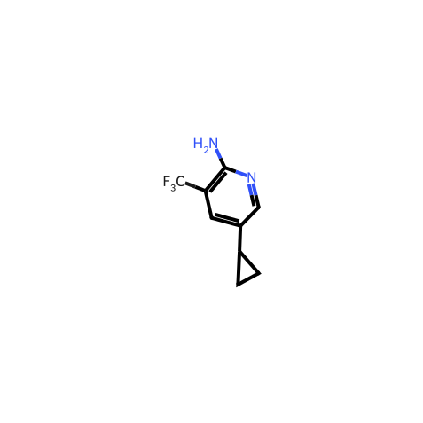 Nc1ncc(C2CC2)cc1C(F)(F)F